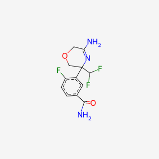 NC(=O)c1ccc(F)c(C2(C(F)F)COCC(N)=N2)c1